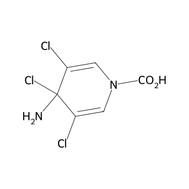 NC1(Cl)C(Cl)=CN(C(=O)O)C=C1Cl